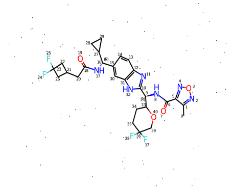 Cc1nonc1C(=O)N[C@H](c1nc2ccc([C@H](NC(=O)CC3CC(F)(F)C3)C3CC3)cc2[nH]1)C1CCC(F)(F)CO1